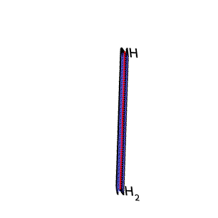 N=N/N=N/N=N/N=N/N=N/N=N/N=N/N=N/N=N/N=N/N=N/N=N/N=N/N=N/N=N/N=N/N=N/N=N/N=N/N=N/N=N/N=N/N=N/N=N/N=N/N=N/N=N/N=N/N=N/N=N/N=N/N=N/N=N/N=N/N=N/N=N/N=N/N=N/N=N/N=N/N=N/N=N/N=N/N=N/N=N/N=N/N=N/N=N/N=N/N=N/N=N/N=N/N=N/N=N/N=N/N=N/N=N/N=N/N=N/N=N/N=N/N=N/N=N/N=N/N